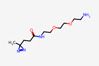 CC1(CCC(=O)NCCOCCOCCN)N=N1